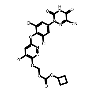 CC(C)c1cc(Oc2c(Cl)cc(-n3nc(C#N)c(=O)[nH]c3=O)cc2Cl)nnc1OCOC(=O)OC1CCC1